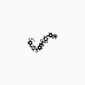 Cc1ccc(CN2CCN(C(=O)c3ccc4oc(C(=O)NC5CCN(Cc6ccc(OC(F)(F)F)cc6)CC5)cc4c3)CC2)cc1